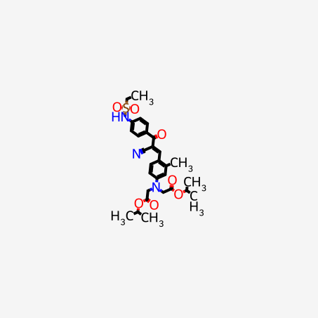 CCS(=O)(=O)Nc1ccc(C(=O)C(C#N)=Cc2ccc(N(CC(=O)OC(C)C)CC(=O)OC(C)C)cc2C)cc1